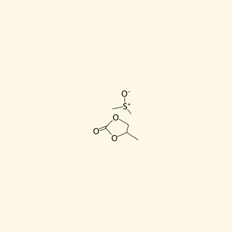 CC1COC(=O)O1.C[S+](C)[O-]